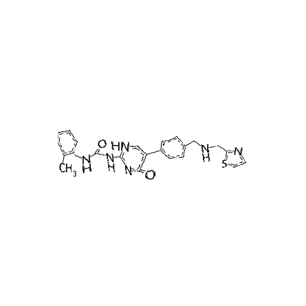 Cc1ccccc1NC(=O)Nc1nc(=O)c(-c2ccc(CNCc3nccs3)cc2)c[nH]1